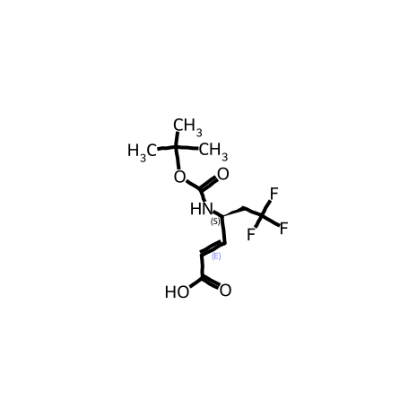 CC(C)(C)OC(=O)N[C@H](/C=C/C(=O)O)CC(F)(F)F